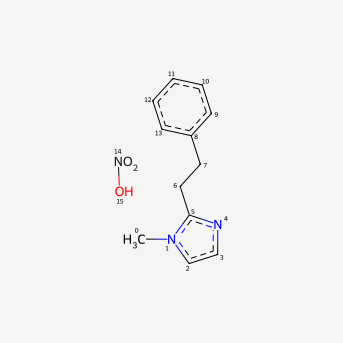 Cn1ccnc1CCc1ccccc1.O=[N+]([O-])O